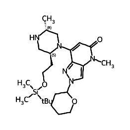 C[C@@H]1CN(c2cc(=O)n(C)c3cn(C4CCCCO4)nc23)[C@@H](CCO[Si](C)(C)C(C)(C)C)CN1